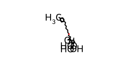 Cc1ccc(CCCCCCCCCC(=O)N2CC[C@@H](OC(O)(O)O)C2)cc1